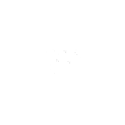 Cc1cccc(C)c1-n1cnc(NC(C)C)nc1=S